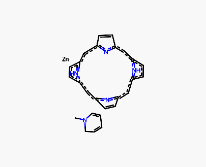 C1=Cc2cc3ccc(cc4nc(cc5ccc(cc1n2)[nH]5)C=C4)[nH]3.CN1C=CC=CC1.[Zn]